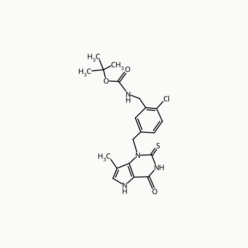 Cc1c[nH]c2c(=O)[nH]c(=S)n(Cc3ccc(Cl)c(CNC(=O)OC(C)(C)C)c3)c12